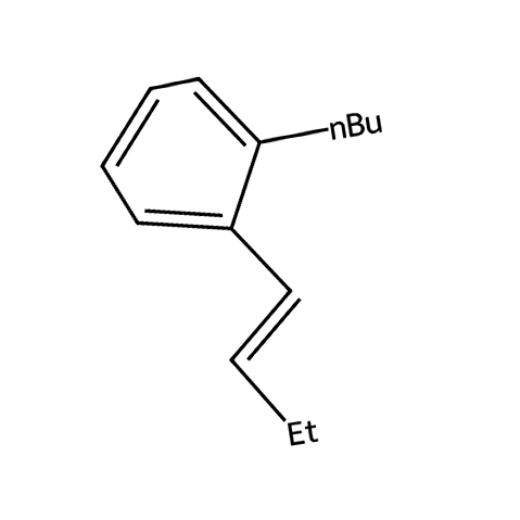 CCC=Cc1ccccc1CCCC